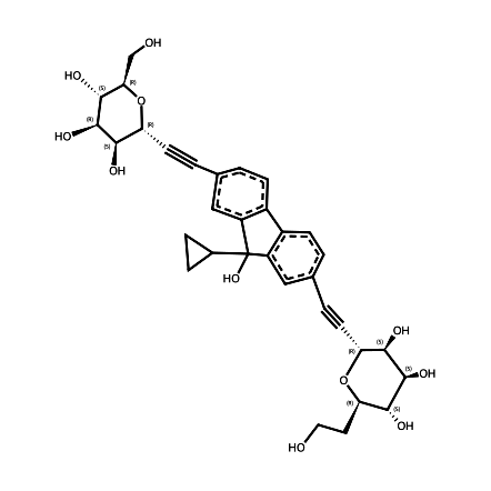 OCC[C@H]1O[C@H](C#Cc2ccc3c(c2)C(O)(C2CC2)c2cc(C#C[C@H]4O[C@H](CO)[C@@H](O)[C@H](O)[C@@H]4O)ccc2-3)[C@@H](O)[C@@H](O)[C@@H]1O